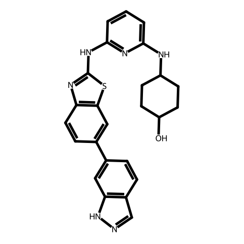 OC1CCC(Nc2cccc(Nc3nc4ccc(-c5ccc6cn[nH]c6c5)cc4s3)n2)CC1